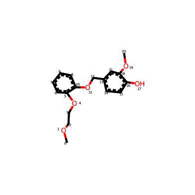 COCCOc1ccc[c]c1OCc1ccc(O)c(OC)c1